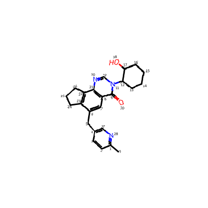 Cc1ccc(Cc2cc3c(=O)n(C4CCCCC4O)cnc3c3c2CCC3)cn1